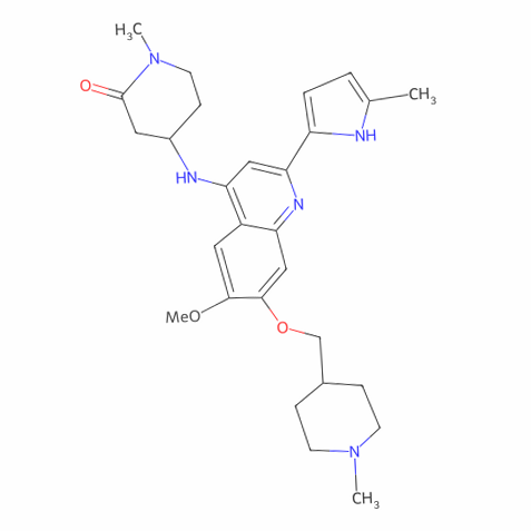 COc1cc2c(NC3CCN(C)C(=O)C3)cc(-c3ccc(C)[nH]3)nc2cc1OCC1CCN(C)CC1